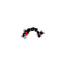 N#Cc1ccc(O[C@H]2C[C@H]3CC[C@@H](C2)N3C(=O)c2ccc(N3CCC(CN4CCN(c5ccc6c(c5)C(=O)N(C5CCC(=O)NC5=O)C6=O)CC4)CC3)cc2)cc1Cl